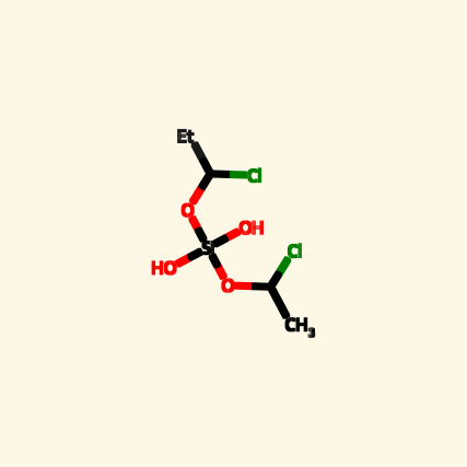 CCC(Cl)O[Si](O)(O)OC(C)Cl